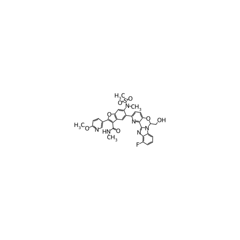 CNC(=O)c1c(-c2ccc(OC)nc2)oc2cc(N(C)S(C)(=O)=O)c(-c3ccc4c(n3)-c3nc5c(F)cccc5n3C(CO)O4)cc12